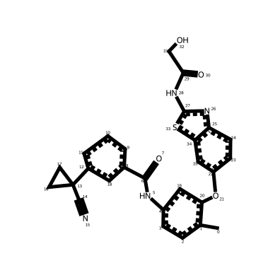 Cc1ccc(NC(=O)c2cccc(C3(C#N)CC3)c2)cc1Oc1ccc2nc(NC(=O)CO)sc2c1